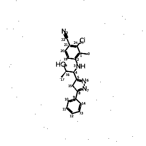 Cc1c(N[C@@H](C2=NN=C(c3ccccc3)C2)[C@@H](C)O)ccc(C#N)c1Cl